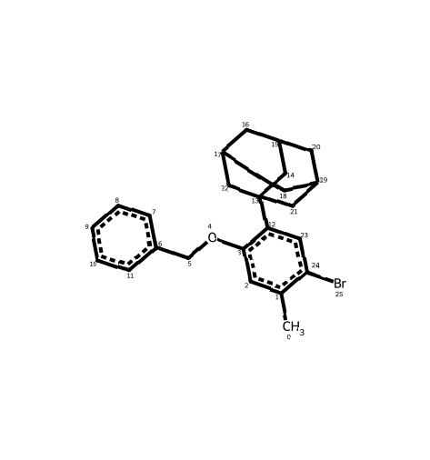 Cc1cc(OCc2ccccc2)c(C23CC4CC(CC(C4)C2)C3)cc1Br